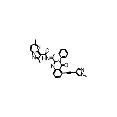 Cc1ccn2nc(C)c(C(=O)N[C@@H](C)c3nc4cccc(C#Cc5cnn(C)c5)c4c(=O)n3-c3ccccc3)c2n1